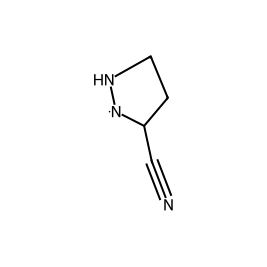 N#CC1CCN[N]1